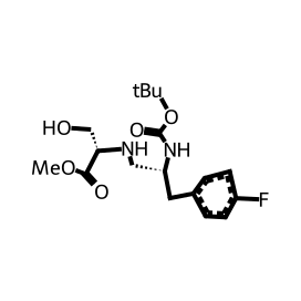 COC(=O)[C@H](CO)NC[C@@H](Cc1ccc(F)cc1)NC(=O)OC(C)(C)C